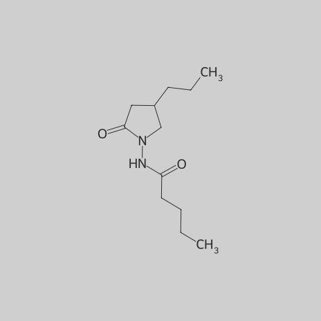 CCCCC(=O)NN1CC(CCC)CC1=O